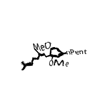 CCCCCc1cc(OC)c(CC=C(C)CCC=C(C)C)c(OC)c1